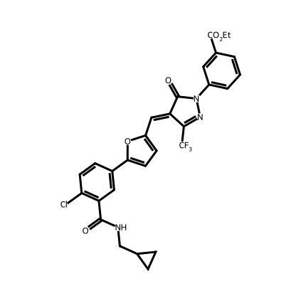 CCOC(=O)c1cccc(N2N=C(C(F)(F)F)/C(=C\c3ccc(-c4ccc(Cl)c(C(=O)NCC5CC5)c4)o3)C2=O)c1